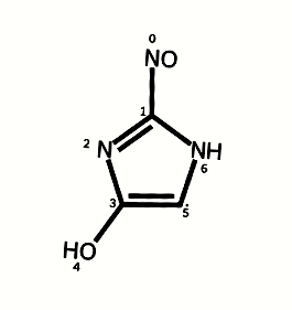 O=Nc1nc(O)[c][nH]1